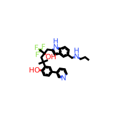 CCCNCc1ccc2[nH]c(CC(O)(CC(C)(C)c3cc(-c4cccnc4)ccc3O)C(F)(F)F)cc2c1